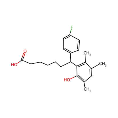 Cc1cc(C)c(O)c(C(CCCCCC(=O)O)c2ccc(F)cc2)c1C